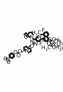 CCc1c(F)ccc2cc(O[Si](C(C)C)(C(C)C)C(C)C)cc(-c3ncc4c(N5CCCC6(CCO6)C5)nc(OC[C@@]56CCCN5[C@H](COC(=O)Oc5ccc([N+](=O)[O-])cc5)CC6)nc4c3F)c12